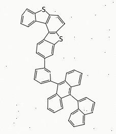 c1cc(-c2ccc3c(c2)sc2ccc4sc5ccccc5c4c23)cc(-c2c3ccccc3c(-c3cccc4ccccc34)c3ccccc23)c1